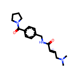 CN(C)C/C=C/C(=O)NCc1ccc(C(=O)N2CCCC2)cc1